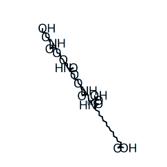 O=C(O)CCCCCCCCCCCCCCC(=O)N[C@@H](CCC(=O)NCCOCCOCC(=O)NCCOCCOCC(=O)NCCOCCO)C(=O)O